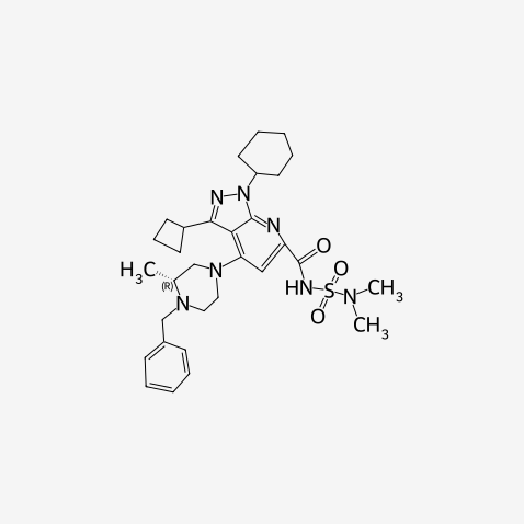 C[C@@H]1CN(c2cc(C(=O)NS(=O)(=O)N(C)C)nc3c2c(C2CCC2)nn3C2CCCCC2)CCN1Cc1ccccc1